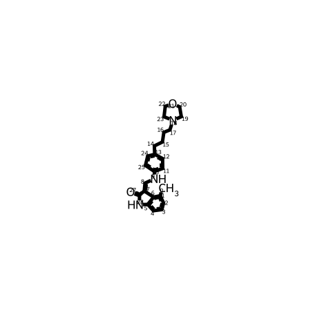 Cc1cccc2c1/C(=C\Nc1ccc(CCCCN3CCOCC3)cc1)C(=O)N2